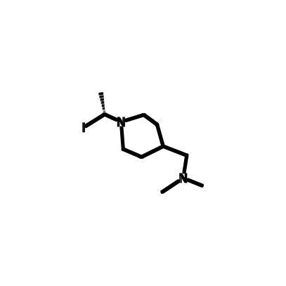 C[C@@H](I)N1CCC(CN(C)C)CC1